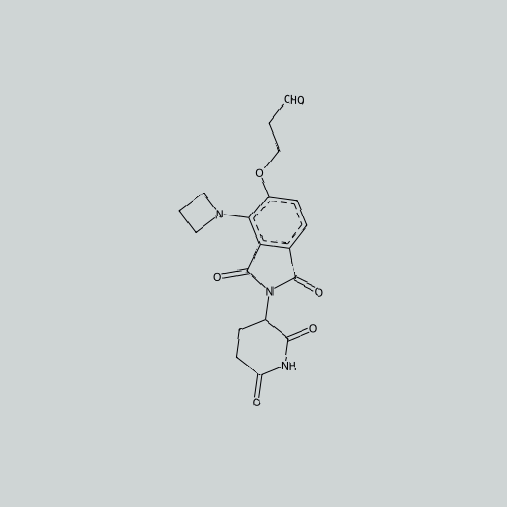 O=CCCOc1ccc2c(c1N1CCC1)C(=O)N(C1CCC(=O)NC1=O)C2=O